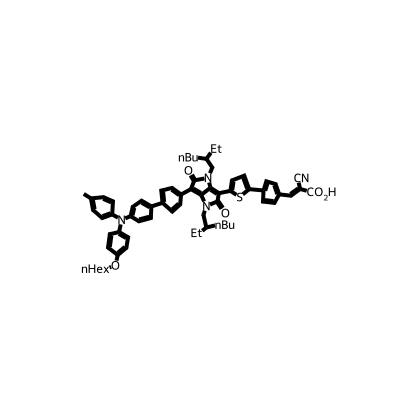 CCCCCCOc1ccc(N(c2ccc(C)cc2)c2ccc(-c3ccc(C4=C5C(=C(c6ccc(-c7ccc(/C=C(\C#N)C(=O)O)cc7)s6)C(=O)N5CC(CC)CCCC)N(CC(CC)CCCC)C4=O)cc3)cc2)cc1